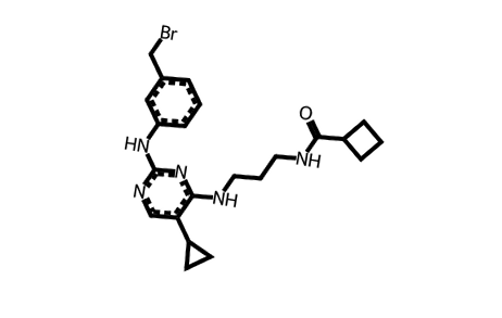 O=C(NCCCNc1nc(Nc2cccc(CBr)c2)ncc1C1CC1)C1CCC1